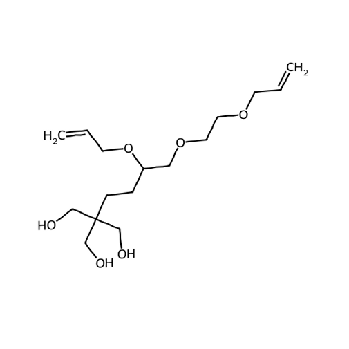 C=CCOCCOCC(CCC(CO)(CO)CO)OCC=C